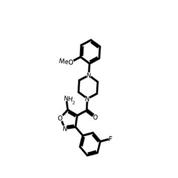 COc1ccccc1N1CCN(C(=O)c2c(-c3cccc(F)c3)noc2N)CC1